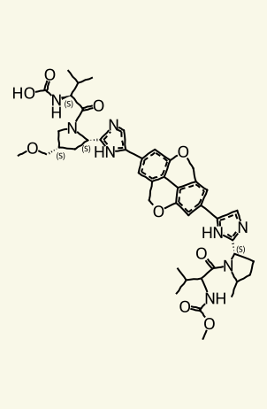 COC[C@H]1C[C@@H](c2ncc(-c3cc4c5c(c3)OCc3cc(-c6cnc([C@@H]7CCC(C)N7C(=O)C(NC(=O)OC)C(C)C)[nH]6)cc(c3-5)OC4)[nH]2)N(C(=O)[C@@H](NC(=O)O)C(C)C)C1